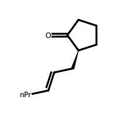 CCCC=CC[C@@H]1CCCC1=O